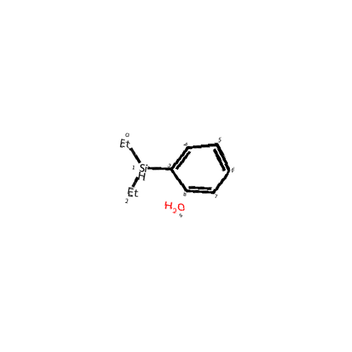 CC[SiH](CC)c1ccccc1.O